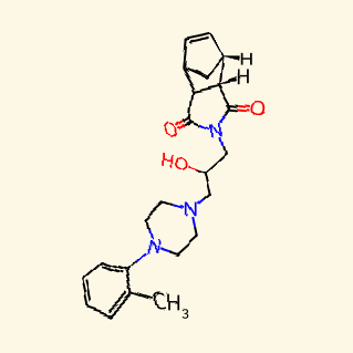 Cc1ccccc1N1CCN(CC(O)CN2C(=O)C3C4C=C[C@@H](C4)[C@@H]3C2=O)CC1